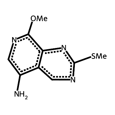 COc1ncc(N)c2cnc(SC)nc12